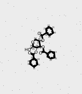 O=C(O[C@H]1[C@H](OC(=O)c2ccccc2)[C@H](OC(=O)c2ccccc2)CO[C@@H]1O)c1ccccc1